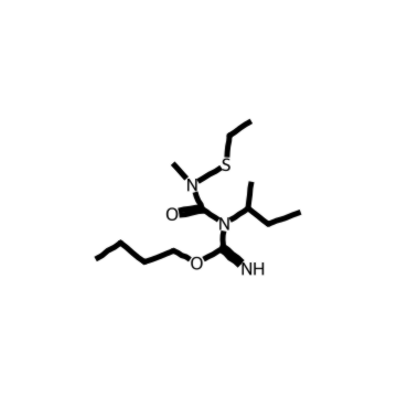 CCCCOC(=N)N(C(=O)N(C)SCC)C(C)CC